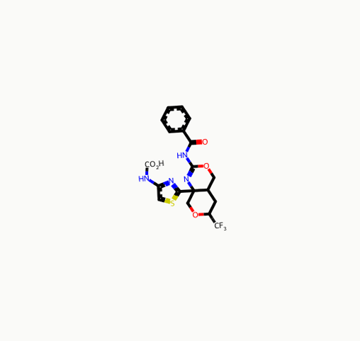 O=C(O)Nc1csc(C23COC(C(F)(F)F)CC2COC(NC(=O)c2ccccc2)=N3)n1